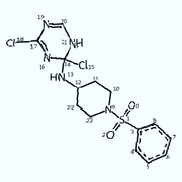 O=S(=O)(c1ccccc1)N1CCC(NC2(Cl)N=C(Cl)N=CN2)CC1